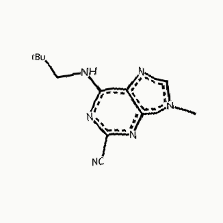 Cn1cnc2c(NCC(C)(C)C)nc(C#N)nc21